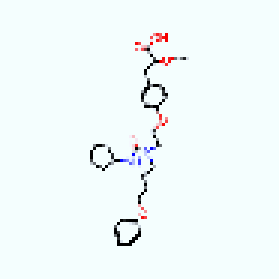 CCOC(Cc1ccc(OCCN(CCCCOc2ccccc2)C(=O)NC2CCCCC2)cc1)C(=O)O